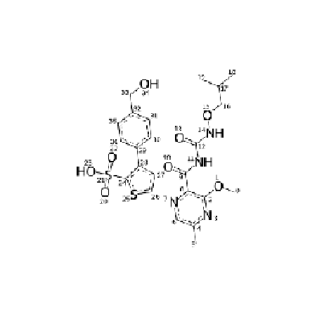 COc1nc(C)cnc1C(=O)NC(=O)NOCC(C)C.O=S(=O)(O)c1sccc1-c1ccc(CO)cc1